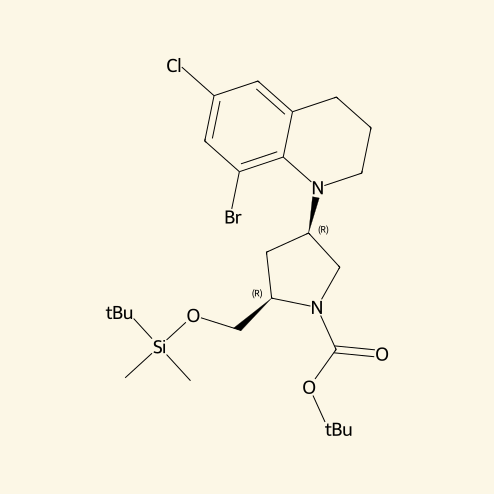 CC(C)(C)OC(=O)N1C[C@H](N2CCCc3cc(Cl)cc(Br)c32)C[C@@H]1CO[Si](C)(C)C(C)(C)C